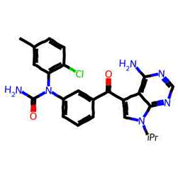 Cc1ccc(Cl)c(N(C(N)=O)c2cccc(C(=O)c3cn(C(C)C)c4ncnc(N)c34)c2)c1